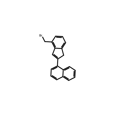 BrCc1cccc2c1C=C(c1cccc3ccccc13)C2